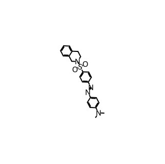 CN(C)c1ccc(N=Nc2ccc(S(=O)(=O)N3CCc4ccccc4C3)cc2)cc1